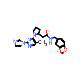 Cc1cnc(-n2ccnc2)nc1N1CCCC1CC(=O)NCc1ccc2c(c1)OCO2